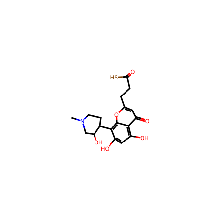 CN1CCC(c2c(O)cc(O)c3c(=O)cc(CCC(=O)S)oc23)C(O)C1